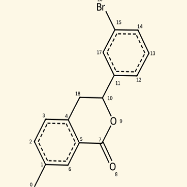 Cc1ccc2c(c1)C(=O)OC(c1cccc(Br)c1)C2